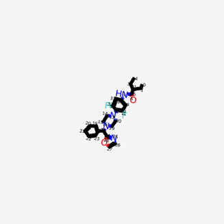 CCC(CC)C(=O)Nc1cc(F)c(N2CCN(C(c3ccccc3)c3ncco3)CC2)c(F)c1